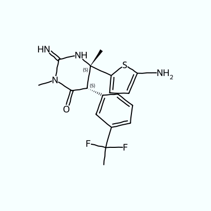 CN1C(=N)N[C@](C)(c2ccc(N)s2)[C@H](c2cccc(C(C)(F)F)c2)C1=O